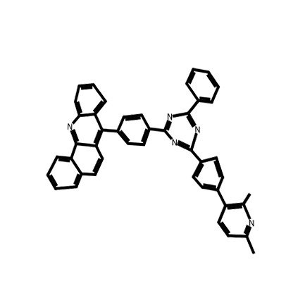 Cc1ccc(-c2ccc(-c3nc(-c4ccccc4)nc(-c4ccc(-c5c6ccccc6nc6c5ccc5ccccc56)cc4)n3)cc2)c(C)n1